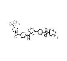 CCN(C)S(=O)(=O)c1ccc(-c2ccnc(Nc3ccc(C(=O)N4CCN(C(C)=O)CC4)cc3)n2)cc1